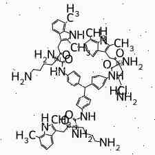 Cc1[nH]c2c(C)cccc2c1CC(=O)[C@@](N)(CCCCN)C(=O)Nc1ccc(C(c2ccc(NC(=O)[C@](N)(CCCCN)C(=O)Cc3c(C)[nH]c4c(C)cccc34)cc2)c2ccc(NC(=O)[C@](N)(CCCCN)C(=O)Cc3c(C)[nH]c4c(C)cccc34)cc2)cc1.Cl